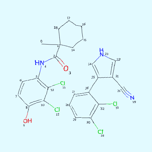 CC1(C(=O)Nc2ccc(O)c(Cl)c2Cl)CCCCC1.N#Cc1c[nH]cc1-c1cccc(Cl)c1Cl